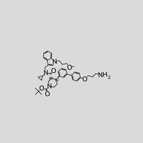 COCCCn1cc(CN(C(=O)[C@H]2CN(C(=O)OC(C)(C)C)CC[C@@H]2c2cccc(-c3ccc(OCCCN)cc3)c2)C2CC2)c2ccccc21